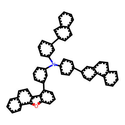 c1cc(-c2ccc3ccccc3c2)cc(N(c2ccc(-c3ccc4c(ccc5ccccc54)c3)cc2)c2cccc(-c3cccc4oc5c6ccccc6ccc5c34)c2)c1